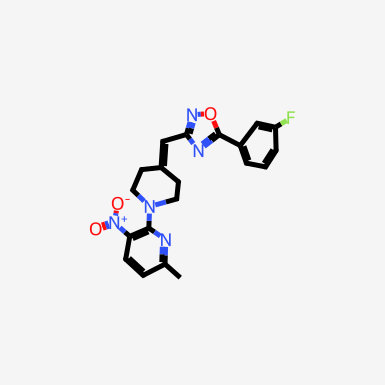 Cc1ccc([N+](=O)[O-])c(N2CCC(=Cc3noc(-c4cccc(F)c4)n3)CC2)n1